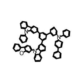 c1ccc(-c2ccc(N(c3ccccc3)c3cccc(-c4cc(-c5ccc6c7ccccc7n(-c7ccccc7)c6c5)cc(-c5ccc6c7ccccc7n(-c7ccc8c(c7)oc7ccccc78)c6c5)c4)c3)cc2)cc1